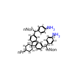 CCCCCCCCCC(c1ccc(N)cc1)c1ccc(C2(c3ccc(C(CCCCCCCCC)c4ccc(N)cc4)cc3)CCC(CCC)CC2)cc1